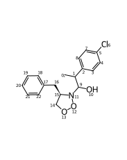 [CH2]C(c1ccc(Cl)cc1)C(O)N1OOC[C@H]1Cc1ccccc1